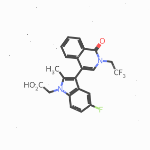 Cc1c(-c2cn(CC(F)(F)F)c(=O)c3ccccc23)c2cc(F)ccc2n1CC(=O)O